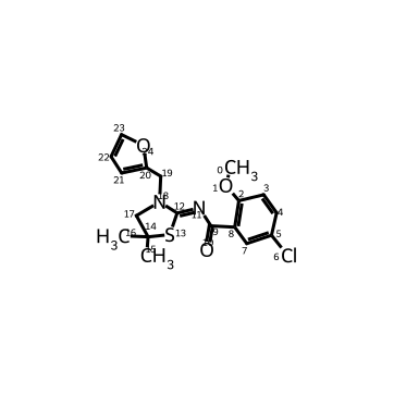 COc1ccc(Cl)cc1C(=O)N=C1SC(C)(C)CN1Cc1ccco1